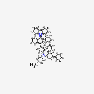 Cc1ccc(N(c2ccc(-c3ccccc3)cc2)c2ccc3c(c2)C2(c4ccccc4-c4ccccc42)c2cc(-n4c5ccccc5c5ccccc54)c4ccccc4c2-3)cc1